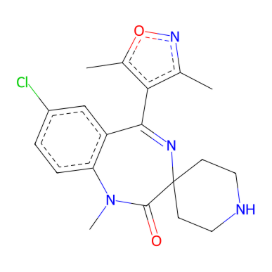 Cc1noc(C)c1C1=NC2(CCNCC2)C(=O)N(C)c2ccc(Cl)cc21